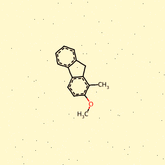 COc1ccc2c(c1C)Cc1ccccc1-2